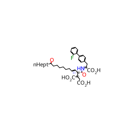 CCCCCCCC(=O)CCCCCC/C=C/[C@H](C(=O)N[C@@H](Cc1ccc(-c2ccccc2F)cc1)C(=O)O)[C@@H](CC(=O)O)C(=O)O